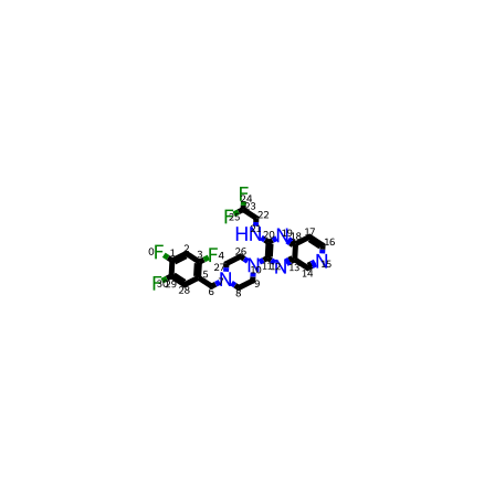 Fc1cc(F)c(CN2CCN(c3nc4cnccc4nc3NCC(F)F)CC2)cc1F